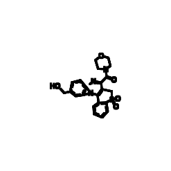 C/N=C(/C(=O)N1CCOCC1)C1=C(N2c3ccc(CO)cc32)c2ccccc2S(=O)(=O)C1